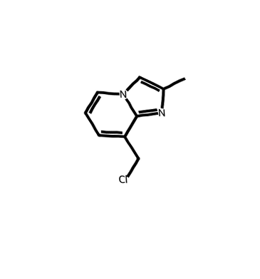 Cc1cn2cccc(CCl)c2n1